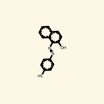 Oc1ccc2ccccc2c1/N=N/c1ccc(S)cc1